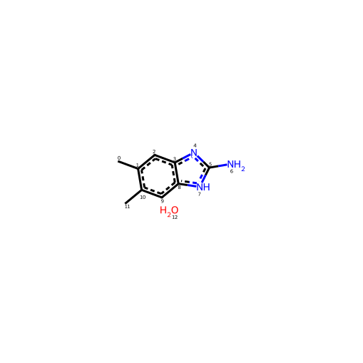 Cc1cc2nc(N)[nH]c2cc1C.O